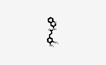 Nc1ccc(CCC(=O)Nc2cnc3ccccc3c2)cc1N